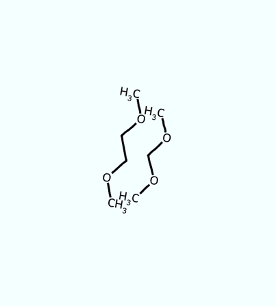 COCCOC.COCOC